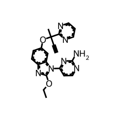 C#CC(C)(Oc1ccc2nc(OCC)n(-c3ccnc(N)n3)c2c1)c1ncccn1